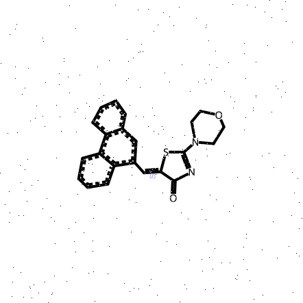 O=C1N=C(N2CCOCC2)S/C1=C\c1cc2ccccc2c2ccccc12